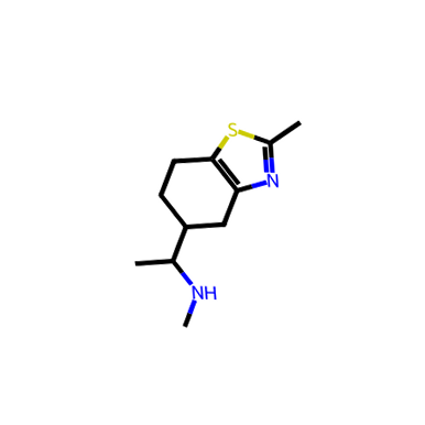 CNC(C)C1CCc2sc(C)nc2C1